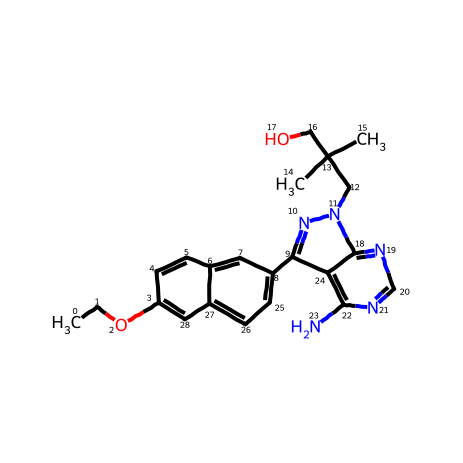 CCOc1ccc2cc(-c3nn(CC(C)(C)CO)c4ncnc(N)c34)ccc2c1